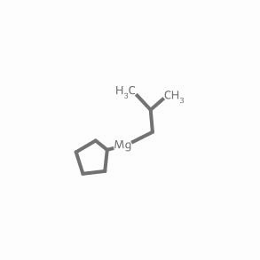 CC(C)[CH2][Mg][CH]1CCCC1